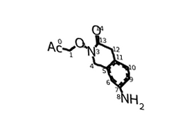 CC(=O)CON1Cc2cc(N)ccc2CC1=O